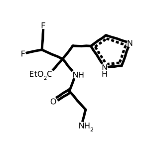 CCOC(=O)C(Cc1cnc[nH]1)(NC(=O)CN)C(F)F